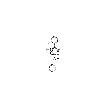 CC[C@H](OC(=O)NCc1ccccc1)[C@@H](O)c1ccccc1I